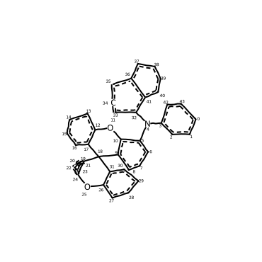 c1ccc(N(c2cccc3c2Oc2ccccc2C32c3ccccc3Oc3ccccc32)c2cccc3ccccc23)cc1